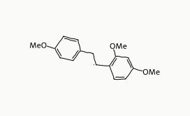 COc1ccc(C[CH]c2ccc(OC)cc2OC)cc1